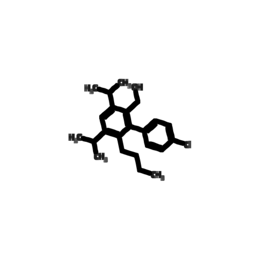 CCCCc1c(C(C)C)cc(C(C)C)c(CO)c1-c1ccc(Cl)cc1